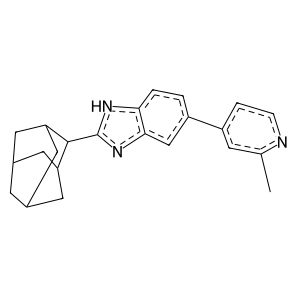 Cc1cc(-c2ccc3[nH]c(C4C5CC6CC(C5)CC4C6)nc3c2)ccn1